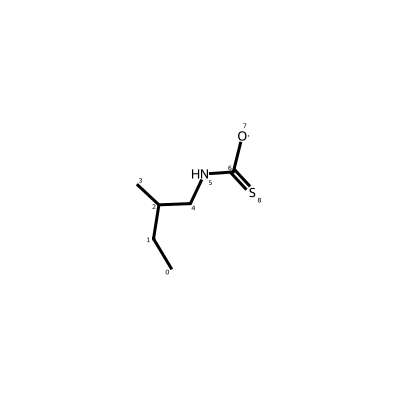 CCC(C)CNC([O])=S